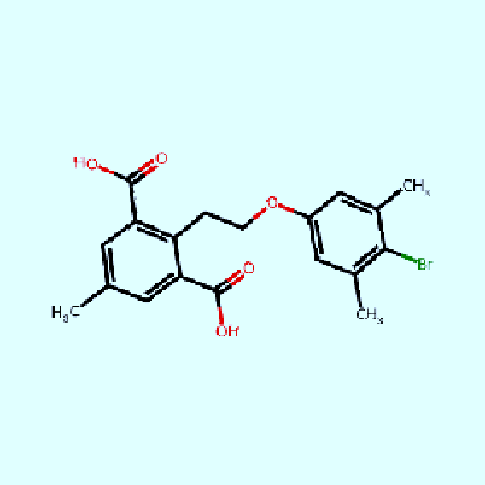 Cc1cc(C(=O)O)c(CCOc2cc(C)c(Br)c(C)c2)c(C(=O)O)c1